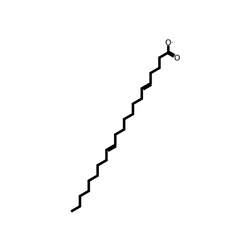 CCCCCCCC/C=C/CCCCCC/C=C/CCCC([O])=O